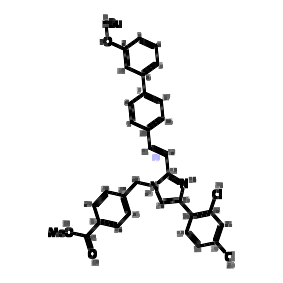 CCCCOc1cccc(-c2ccc(/C=C/c3nc(-c4ccc(Cl)cc4Cl)cn3Cc3ccc(C(=O)OC)cc3)cc2)c1